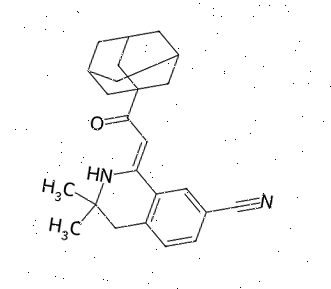 CC1(C)Cc2ccc(C#N)cc2C(=CC(=O)C23CC4CC(CC(C4)C2)C3)N1